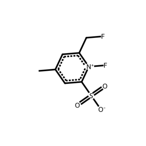 Cc1cc(CF)[n+](F)c(S(=O)(=O)[O-])c1